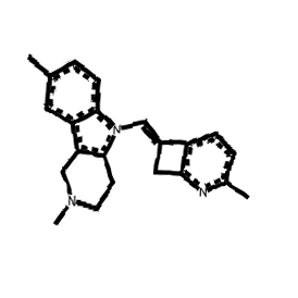 Cc1ccc2c(c1)c1c(n2/C=C2\Cc3nc(C)ccc32)CCN(C)C1